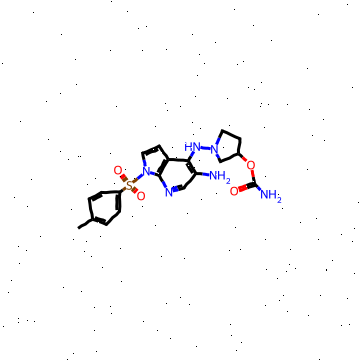 Cc1ccc(S(=O)(=O)n2ccc3c(NN4CCC(OC(N)=O)C4)c(N)cnc32)cc1